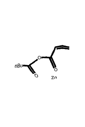 C=CC(=O)OC(=O)CCCC.[Zn]